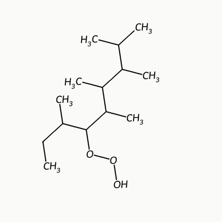 CCC(C)C(OOO)C(C)C(C)C(C)C(C)C